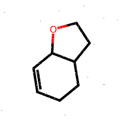 C1=CC2OCCC2CC1